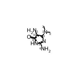 CN(C)c1nc(N)[nH]c(=O)c1N